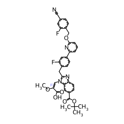 CO/C(=C/n1c(Cc2ccc(-c3cccc(OCc4ccc(C#N)cc4F)n3)cc2F)nc2ccc(C(=O)OC(C)(C)C)cc21)C(=O)O